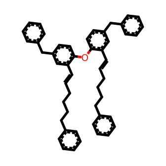 C(=Cc1cc(Cc2ccccc2)ccc1Oc1ccc(Cc2ccccc2)cc1C=CCCCCc1ccccc1)CCCCc1ccccc1